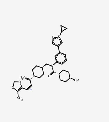 C=C(/C=C\C1=C(C)OCO1)[C@H]1CC[C@H](CN(c2cccc(-c3cnn(C4CC4)c3)c2)C(=O)[C@H]2CC[C@H](O)CC2)CC1